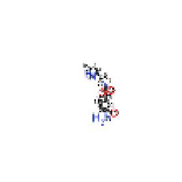 Cc1ccc(C2CCN(C(=O)O[C@H]3C4CC5CC3C[C@](C(N)=O)(C5)C4)C2)nn1